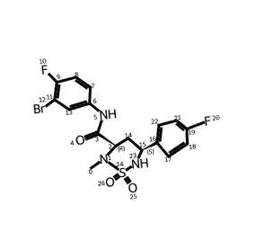 CN1[C@@H](C(=O)Nc2ccc(F)c(Br)c2)C[C@@H](c2ccc(F)cc2)NS1(=O)=O